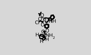 CC(C)(C)OC(=O)[C@H]1Cc2c([nH]c3ccccc23)[C@H](c2ccc(OC(=O)C(N)[C@]34C[C@H]5C[C@H](C[C@H](C5)C3)C4)cc2)N1C(=O)CCl